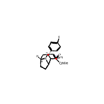 COC(=O)C1C2CC[C@H](C[C@@H]1c1ccc(F)cc1)N2C/C=C/[123I]